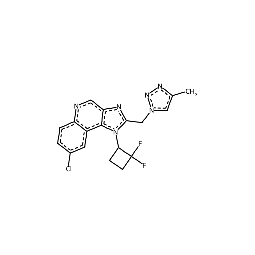 Cc1cn(Cc2nc3cnc4ccc(Cl)cc4c3n2C2CCC2(F)F)nn1